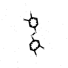 Ic1ccc(SSc2ccc(I)c(I)c2)cc1I